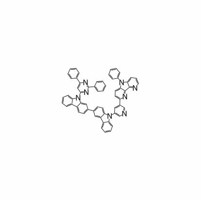 c1ccc(-c2cc(-n3c4ccccc4c4ccc(-c5ccc6c(c5)c5ccccc5n6-c5cncc(-c6ccc7c(n6)c6ncccc6n7-c6ccccc6)c5)cc43)nc(-c3ccccc3)n2)cc1